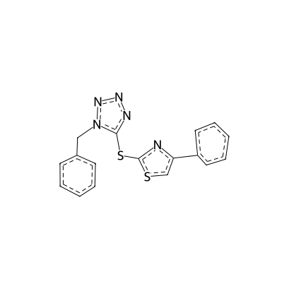 c1ccc(Cn2nnnc2Sc2nc(-c3ccccc3)cs2)cc1